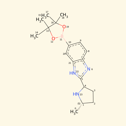 C[C@H]1CCC(c2nc3ccc(B4OC(C)(C)C(C)(C)O4)cc3[nH]2)N1